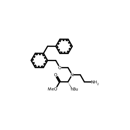 CCCC[C@H](C(=O)OC)N(CCN)COCc1ccccc1Cc1ccccc1